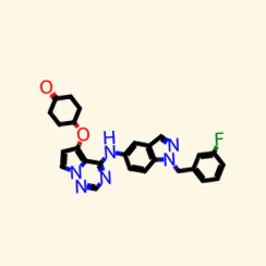 O=C1CCC(Oc2ccn3ncnc(Nc4ccc5c(cnn5Cc5cccc(F)c5)c4)c23)CC1